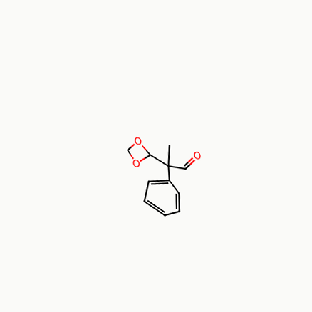 CC(C=O)(c1ccccc1)C1OCO1